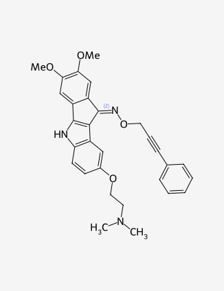 COc1cc2c(cc1OC)-c1[nH]c3ccc(OCCN(C)C)cc3c1/C2=N\OCC#Cc1ccccc1